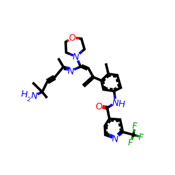 C=C(/C=C(\N=C(/C)C#CC(C)(C)N)N1CCOCC1)c1cc(NC(=O)c2ccnc(C(F)(F)F)c2)ccc1C